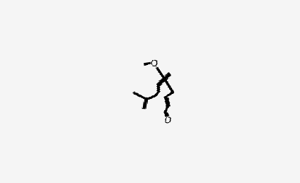 COC(C)(CC=CC=O)CCC(C)C